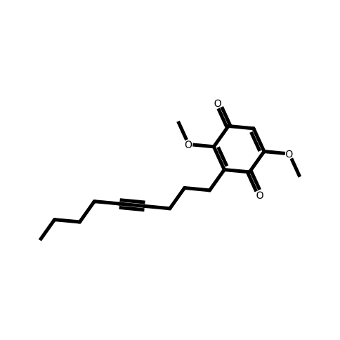 CCCCC#CCCCC1=C(OC)C(=O)C=C(OC)C1=O